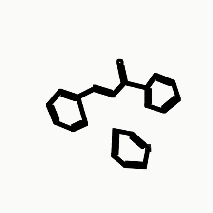 O=C(C=Cc1ccccc1)c1ccccc1.c1ccncc1